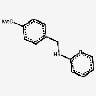 COc1ccc(CNc2[c]cccn2)cc1